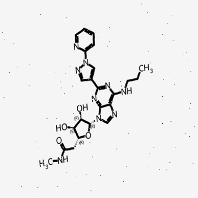 CCCNc1nc(-c2cnn(-c3ccccn3)c2)nc2c1ncn2[C@@H]1O[C@H](CC(=O)NC)[C@@H](O)[C@H]1O